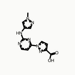 Cn1cc(Nc2nccc(-n3ccc(C(=O)O)n3)n2)cn1